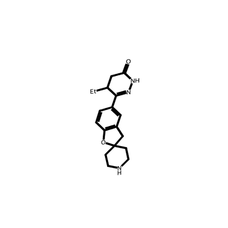 CCC1CC(=O)NN=C1c1ccc2c(c1)CC1(CCNCC1)O2